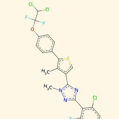 Cc1c(-c2nc(-c3c(F)cccc3Cl)nn2C)csc1-c1ccc(OC(F)(F)C(Cl)Cl)cc1